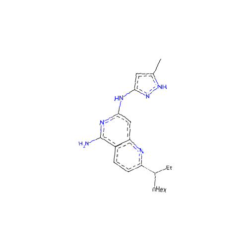 CCCCCCC(CC)c1ccc2c(N)nc(Nc3cc(C)[nH]n3)cc2n1